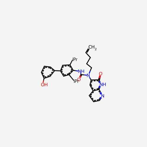 C=CCCCN(C(=O)Nc1c(C(C)C)cc(-c2cccc(O)c2)cc1C(C)C)c1cc2cccnc2[nH]c1=O